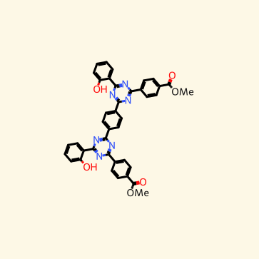 COC(=O)c1ccc(-c2nc(-c3ccc(-c4nc(-c5ccc(C(=O)OC)cc5)nc(-c5ccccc5O)n4)cc3)nc(-c3ccccc3O)n2)cc1